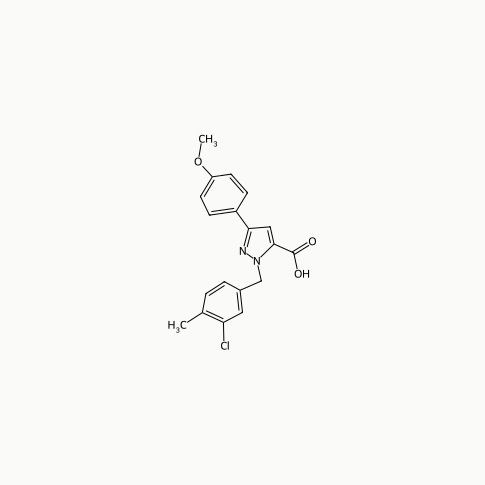 COc1ccc(-c2cc(C(=O)O)n(Cc3ccc(C)c(Cl)c3)n2)cc1